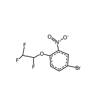 O=[N+]([O-])c1cc(Br)ccc1OC(F)C(F)F